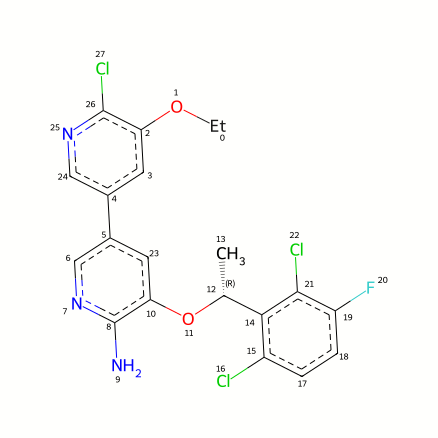 CCOc1cc(-c2cnc(N)c(O[C@H](C)c3c(Cl)ccc(F)c3Cl)c2)cnc1Cl